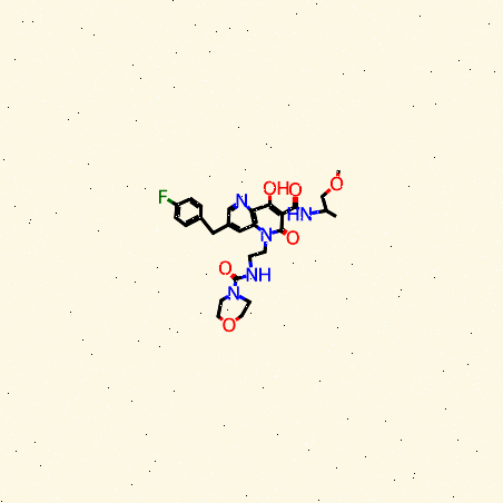 COCC(C)NC(=O)c1c(O)c2ncc(Cc3ccc(F)cc3)cc2n(CCNC(=O)N2CCOCC2)c1=O